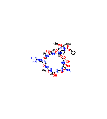 CC[C@H](C)C1NC(=O)[C@@H](CCCNC(=N)N)NC(=O)[C@H](CC(C)C)NC(=O)[C@H]([C@H](O)C(C)C)NC(=O)[C@@H](NC(=O)[C@H](COC(C)(C)C)NC(=O)[C@@H](CC(C)(C)C)NC(=O)OCc2ccccc2)[C@@H](c2ccccc2)OC(=O)[C@H](CO)NC(=O)[C@H]([C@H](O)C(N)=O)NC(=O)CNC(=O)C([C@H](C)O)NC1=O